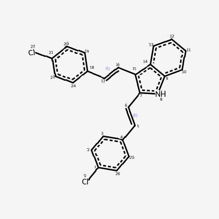 Clc1ccc(/C=C/c2[nH]c3ccccc3c2/C=C/c2ccc(Cl)cc2)cc1